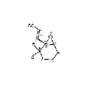 CC(=O)/C=C/[C@@]12OC1CCCC2(C)C